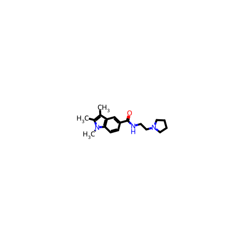 Cc1c(C)n(C)c2ccc(C(=O)NCCN3CCCC3)cc12